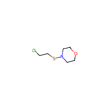 ClCCSN1CCOCC1